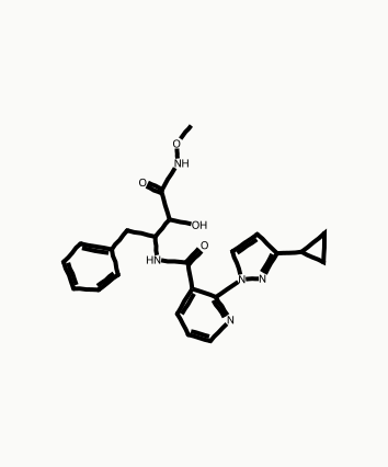 CONC(=O)C(O)C(Cc1ccccc1)NC(=O)c1cccnc1-n1ccc(C2CC2)n1